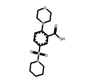 O=C(O)c1cc(S(=O)(=O)N2CCCCC2)ccc1N1CCOCC1